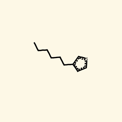 CCCCCCc1[c]csc1